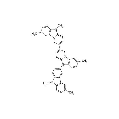 Cc1ccc2c(c1)c1cc(-c3ccc4c(c3)c3cc(C)ccc3n4-c3ccc4c(c3)c3cc(C)ccc3n4C)ccc1n2C